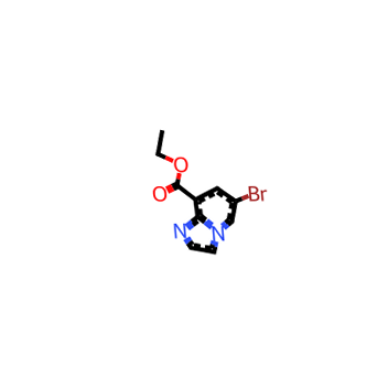 CCOC(=O)c1cc(Br)cn2ccnc12